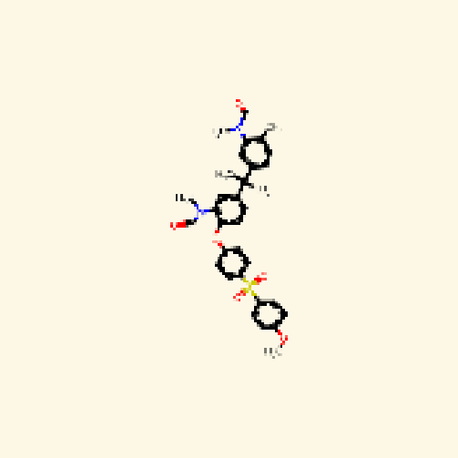 COc1ccc(S(=O)(=O)c2ccc(Oc3ccc(C(C)(C)c4ccc(C)c(N(C)C=O)c4)cc3N(C)C=O)cc2)cc1